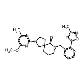 COc1cc(C)nc(N2CCC3(CCCN(Cc4ccccc4-c4nc(C)no4)C3=O)C2)n1